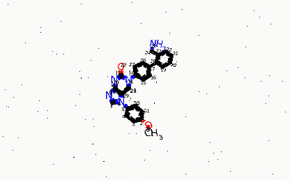 COc1ccc(-n2cnc3nc(=O)n(-c4ccc(-c5ccccc5CN)cc4)cc32)cc1